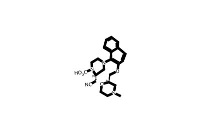 CN1CCO[C@@H](COc2ccc3ccccc3c2N2CCN(C(=O)O)[C@@H](CC#N)C2)C1